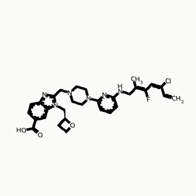 C=C/C(Cl)=C\C(F)=C(/C)CNc1cccc(N2CCN(Cc3nc4ccc(C(=O)O)cc4n3C[C@@H]3CCO3)CC2)n1